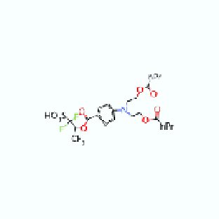 CCCC(=O)OCCN(CCOC(=O)CCC)c1ccc(C(=O)OC(C(F)(F)F)C(F)(F)S(=O)(=O)O)cc1